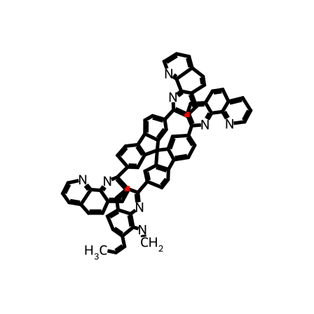 C=Nc1c(/C=C\C)ccc2ccc(-c3ccc4c(c3)C3(c5cc(-c6ccc7ccc8cccnc8c7n6)ccc5-4)c4cc(-c5ccc6ccc7cccnc7c6n5)ccc4-c4ccc(-c5ccc6ccc7cccnc7c6n5)cc43)nc12